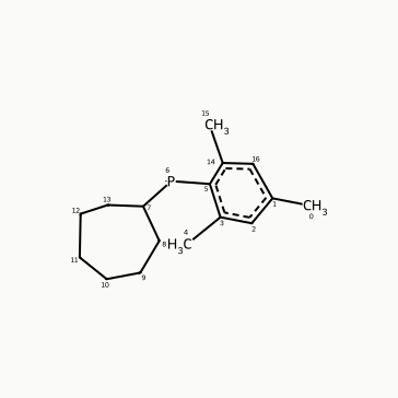 Cc1cc(C)c([P]C2CCCCCC2)c(C)c1